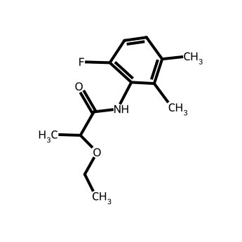 CCOC(C)C(=O)Nc1c(F)ccc(C)c1C